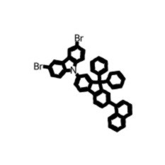 Brc1ccc2c(c1)c1cc(Br)ccc1n2-c1ccc2c(c1)C(c1ccccc1)(C1C=CC=CC1)c1cc(-c3cccc4ccccc34)ccc1-2